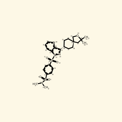 CN(C)S(=O)(=O)c1ccc(S(=O)(=O)n2nc([C@H]3CC[C@@]4(CC3)COC(C)(C)C4)c3ncccc32)cc1